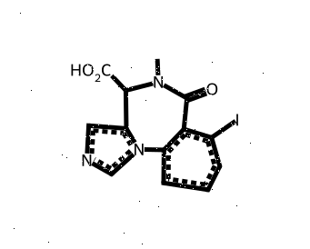 CN1C(=O)c2c(I)cccc2-n2cncc2C1C(=O)O